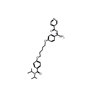 CC(C)N(C(=O)c1ccc(OCCCCCOc2ccc(/C(N)=N\C(=O)c3ccncc3)cc2)cc1)C(C)C